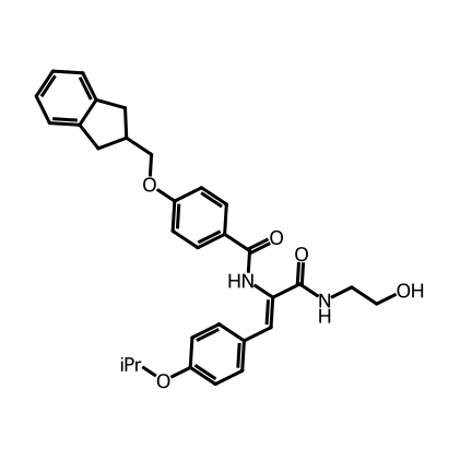 CC(C)Oc1ccc(/C=C(\NC(=O)c2ccc(OCC3Cc4ccccc4C3)cc2)C(=O)NCCO)cc1